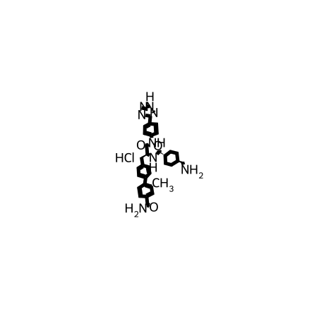 Cc1cc(C(N)=O)ccc1-c1ccc(C[C@H](NC(=O)[C@H]2CC[C@H](CN)CC2)C(=O)Nc2ccc(-c3nn[nH]n3)cc2)cc1.Cl